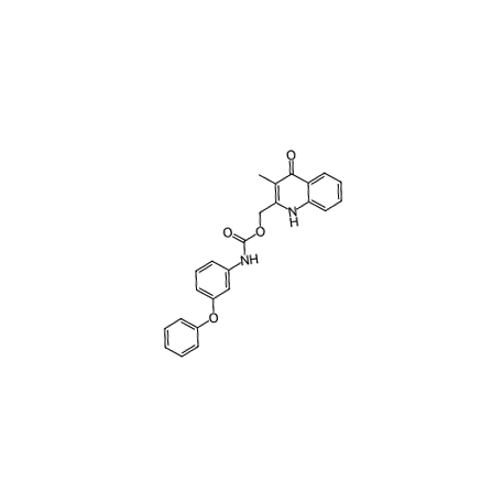 Cc1c(COC(=O)Nc2cccc(Oc3ccccc3)c2)[nH]c2ccccc2c1=O